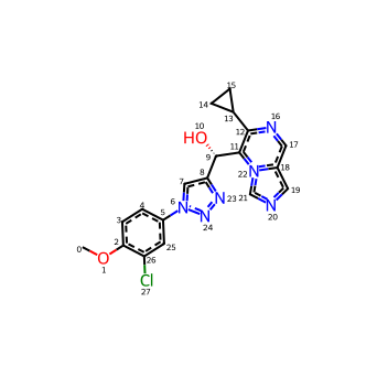 COc1ccc(-n2cc([C@H](O)c3c(C4CC4)ncc4cncn34)nn2)cc1Cl